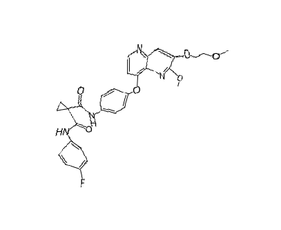 COCCOc1cc2nccc(Oc3ccc(NC(=O)C4(C(=O)Nc5ccc(F)cc5)CC4)cc3)c2nc1OC